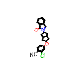 N#Cc1ccc(OC2CC3CC(N4Cc5ccccc5C4=O)CC3C2)cc1Cl